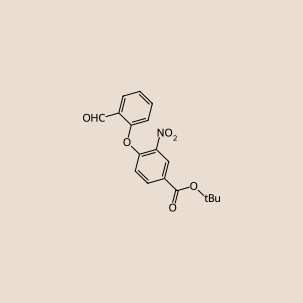 CC(C)(C)OC(=O)c1ccc(Oc2ccccc2C=O)c([N+](=O)[O-])c1